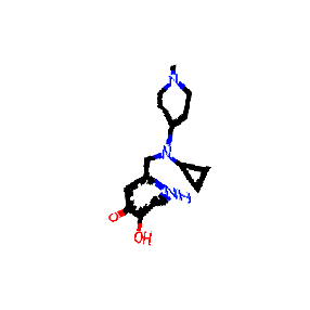 CN1CCC(N(Cc2cc(=O)c(O)c[nH]2)C2CC2)CC1